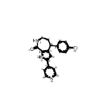 O=C1NCCC(c2ccc(Cl)cc2)c2cc(-c3ccncc3)[nH]c21